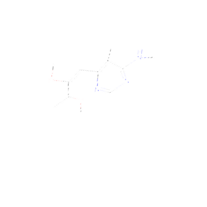 CNc1ncnc(/C=C(/OC)C(C)OC)c1C